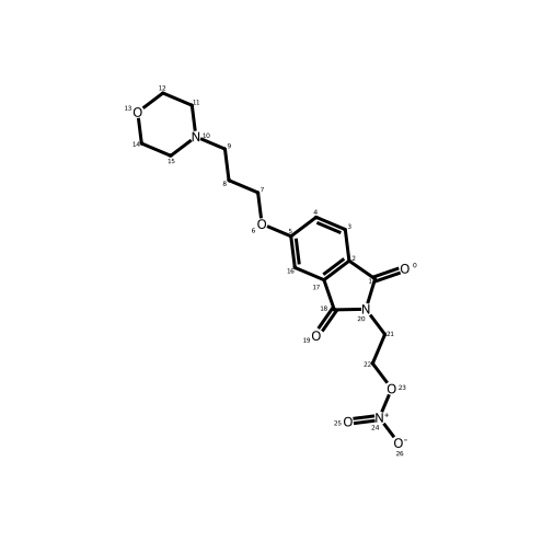 O=C1c2ccc(OCCCN3CCOCC3)cc2C(=O)N1CCO[N+](=O)[O-]